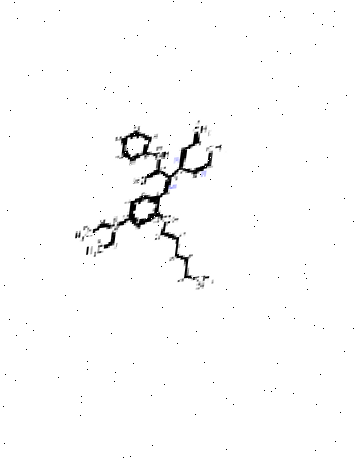 C=C/C=C(\C=C/C)C(=C/c1ccc(N(CC)CC)cc1OCCCCCC)/C(=O)Nc1ccccc1